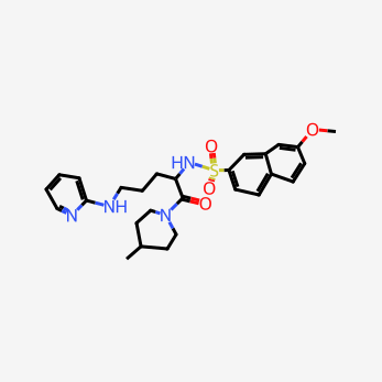 COc1ccc2ccc(S(=O)(=O)NC(CCCNc3ccccn3)C(=O)N3CCC(C)CC3)cc2c1